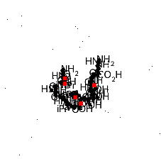 CC(C)C[C@H](NC(=O)CNC(=O)CNC(=O)[C@H](CS)NC(=O)[C@H](C)NC(=O)[C@@H](NC(=O)CNC(=O)CN)C(C)C)C(=O)N[C@H](C(=O)N[C@@H](Cc1ccc(O)cc1)C(=O)N[C@@H](CO)C(=O)N[C@@H](CO)C(=O)N[C@H](C(=O)N[C@@H](C)C(=O)NCC(=O)N[C@@H](CCCNC(=N)N)C(=O)O)[C@@H](C)O)[C@@H](C)O